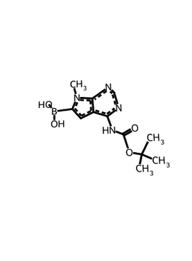 Cn1c(B(O)O)cc2c(NC(=O)OC(C)(C)C)ncnc21